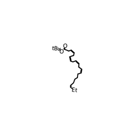 CC/C=C\CCCC/C=C\C/C=C\C/C=C\C/C=C\CC(=O)OC(C)(C)C